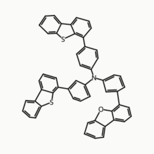 c1cc(-c2cccc3c2oc2ccccc23)cc(N(c2ccc(-c3cccc4c3sc3ccccc34)cc2)c2cccc(-c3cccc4c3sc3ccccc34)c2)c1